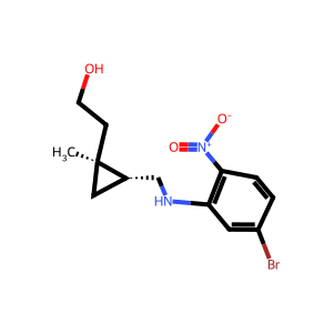 C[C@@]1(CCO)C[C@H]1CNc1cc(Br)ccc1[N+](=O)[O-]